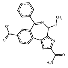 COC1N=C(c2ccccc2)c2cc([N+](=O)[O-])ccc2-n2nc(C(N)=O)nc21